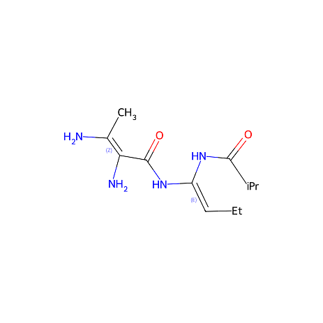 CC/C=C(/NC(=O)/C(N)=C(\C)N)NC(=O)C(C)C